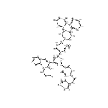 c1ccc2c(c1)cc(-c1cc(-c3ccc4ccc5cccnc5c4n3)cc(-c3cnc4c(c3)oc3cc5c6ccccc6c6ccccc6c5cc34)n1)c1ccccc12